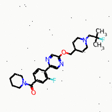 CC(C)(F)CN1CCC(COc2cnc(-c3ccc(C(=O)N4CCCCC4)cc3F)cn2)CC1